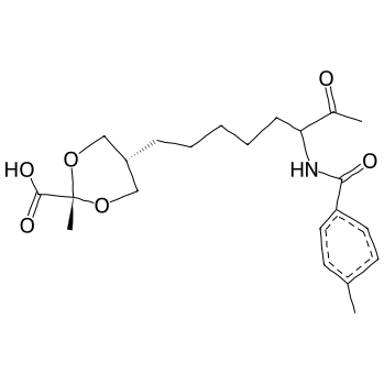 CC(=O)C(CCCCC[C@H]1CO[C@@](C)(C(=O)O)OC1)NC(=O)c1ccc(C)cc1